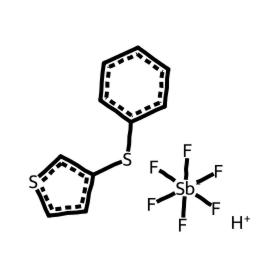 [F][Sb-]([F])([F])([F])([F])[F].[H+].c1ccc(Sc2ccsc2)cc1